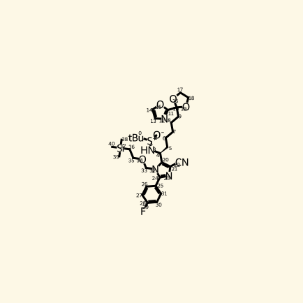 CC(C)(C)[S+]([O-])N[C@@H](CCCCCC1(c2ncco2)OCCO1)c1c(C#N)nc(-c2ccc(F)cc2)n1COCC[Si](C)(C)C